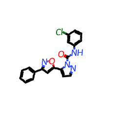 O=C(Nc1cccc(Cl)c1)n1nccc1-c1cc(-c2ccccc2)no1